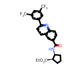 CCOC(=O)[C@@H]1CCC[C@@H]1NC(=O)c1ccc2nc(-c3cc(C(F)(F)F)cc(C(F)(F)F)c3)ccc2c1